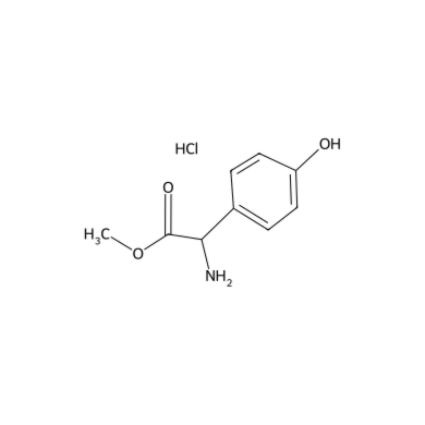 COC(=O)C(N)c1ccc(O)cc1.Cl